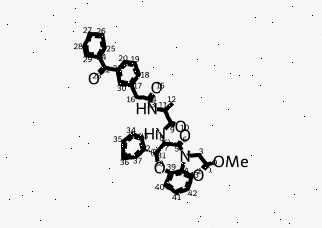 COC(=O)CN1C(=O)[C@@H](NC(=O)C(C)NC(=O)Cc2cccc(C(=O)c3ccccc3)c2)[C@@H](c2ccccc2)Oc2ccccc21